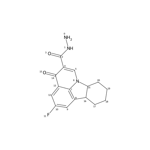 NNC(=O)c1cn2c3c(cc(F)cc3c1=O)C1CCCCC12